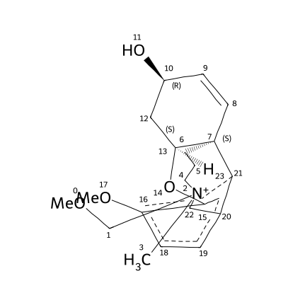 COC[N+]1(C)CCC[C@@]23C=C[C@H](O)C[C@@H]2Oc2c(OC)ccc(c23)C1